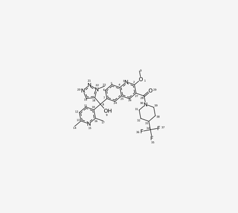 COc1nc2ccc(C(O)(c3ccc(C)nc3C)c3cnnn3C)cc2cc1C(=O)N1CCC(C(F)(F)F)CC1